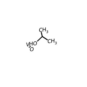 CC(C)O.[O]=[V]